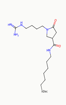 CCCCCCCCCCCCCCCCNC(=O)C1CC(=O)N(CCCCNC(=N)N)C1